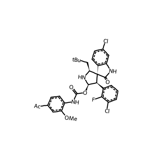 COc1cc(C(C)=O)ccc1NC(=O)O[C@H]1N[C@@H](CC(C)(C)C)[C@@]2(C(=O)Nc3cc(Cl)ccc32)[C@H]1c1cccc(Cl)c1F